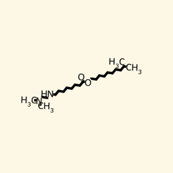 CC(C)CCCCCCCCOC(=O)CCCCCCCNCCN(C)C